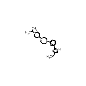 CCc1c[nH]c(-c2cccc(N3CCCN(C4CCN(C(C)C)CC4)CC3)n2)n1